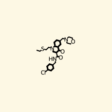 CCSCCn1cc(C(=O)NCc2ccc(Cl)cc2)c(=O)c2cc(CN3CCOCC3)ccc21